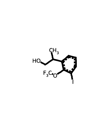 C[C](CO)c1cccc(I)c1OC(F)(F)F